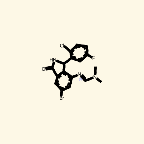 CN(C)/C=N/c1cc(Br)cc2c1C(c1cc(F)ccc1Cl)NC2=O